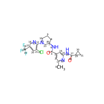 Cc1cc(C(=O)N[C@@H]2CCCN(c3ncc(C(F)(F)F)cc3Cl)C2)cc(NC(=O)C2CC2)n1